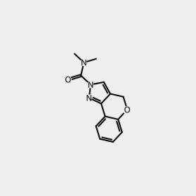 CN(C)C(=O)n1cc2c(n1)-c1ccccc1OC2